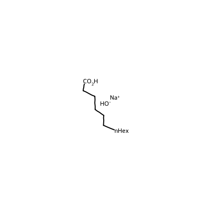 CCCCCCCCCCCC(=O)O.[Na+].[OH-]